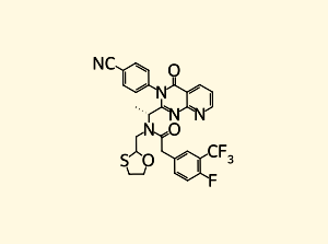 C[C@H](c1nc2ncccc2c(=O)n1-c1ccc(C#N)cc1)N(CC1OCCS1)C(=O)Cc1ccc(F)c(C(F)(F)F)c1